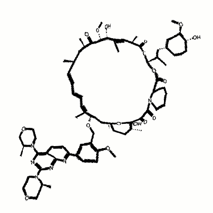 COc1ccc(-c2ccc3c(N4CCOC[C@@H]4C)nc(N4CCOC[C@@H]4C)nc3n2)cc1CO[C@H]1C[C@@H]2CC[C@@H](C)[C@@](O)(O2)C(=O)C(=O)N2CCCCC2C(=O)O[C@H](C(C)C[C@H]2CC[C@@H](O)[C@H](OC)C2)CC(=O)[C@H](C)/C=C(\C)[C@@H](O)[C@@H](OC)C(=O)[C@H](C)C[C@H](C)/C=C/C=C/C=C\1C